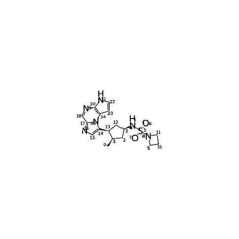 C[C@@H]1C[C@H](NS(=O)(=O)N2CCC2)C[C@@H]1c1cnc2cnc3[nH]ccc3n12